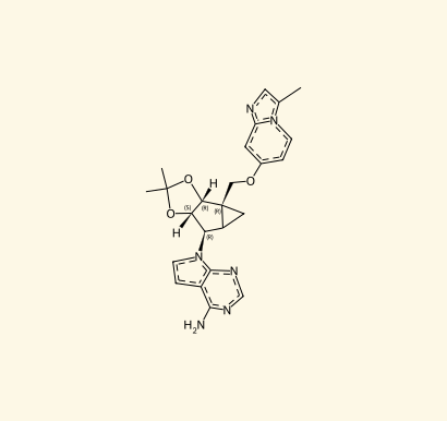 Cc1cnc2cc(OC[C@@]34CC3[C@@H](n3ccc5c(N)ncnc53)[C@@H]3OC(C)(C)O[C@@H]34)ccn12